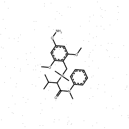 COc1cc(ON)cc(OC)c1C[N+](C)(C)C(C(=O)N(C)c1ccccc1)C(C)C